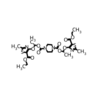 CCOC(=O)c1sc(C)nc1O[C@@H](C)OC(=O)N1CCN(C(=O)O[C@H](C)Oc2nc(C)sc2C(=O)OCC)CC1